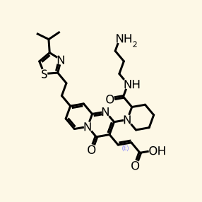 CC(C)c1csc(CCc2ccn3c(=O)c(/C=C/C(=O)O)c(N4CCCCC4C(=O)NCCCN)nc3c2)n1